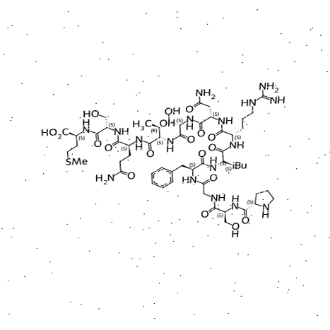 CC[C@H](C)[C@H](NC(=O)[C@H](Cc1ccccc1)NC(=O)CNC(=O)[C@H](CO)NC(=O)[C@@H]1CCCN1)C(=O)N[C@@H](CCCNC(=N)N)C(=O)N[C@@H](CC(N)=O)C(=O)N[C@@H](CO)C(=O)N[C@H](C(=O)N[C@@H](CCC(N)=O)C(=O)N[C@@H](CO)C(=O)N[C@@H](CCSC)C(=O)O)[C@@H](C)O